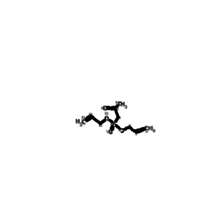 C=CCOP(=O)(CC(C)=O)OCC=C